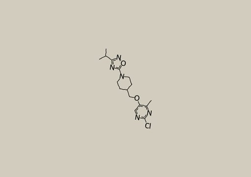 Cc1nc(Cl)ncc1OCC1CCN(c2nc(C(C)C)no2)CC1